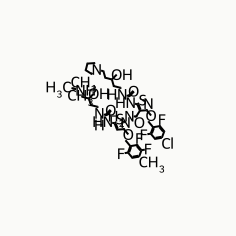 Cc1cc(F)c(COc2cc(NC(=O)NCCC(O)CNC(C)(C)C)sn2)c(F)c1F.NC(=O)c1c(OCc2c(F)cc(Cl)cc2F)nsc1NC(=O)NCCC(O)CCN1CCCC1